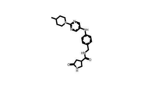 CC1CCN(c2ncc(Nc3ccc(CNC(=O)C4CNC(=O)C4)cc3)cn2)CC1